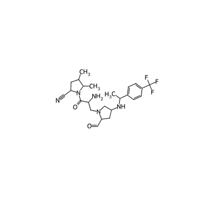 CC(NC1CC(C=O)N(CC(N)C(=O)N2C(C#N)CC(C)C2C)C1)c1ccc(C(F)(F)F)cc1